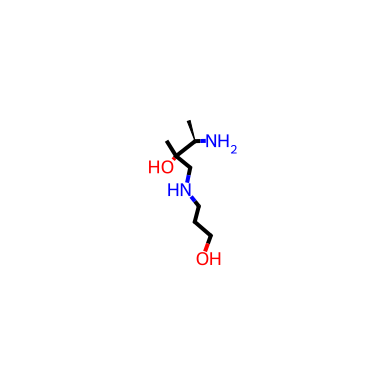 C[C@@H](N)C(C)(O)CNCCCO